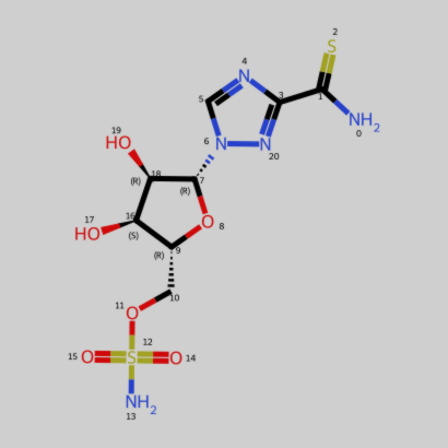 NC(=S)c1ncn([C@@H]2O[C@H](COS(N)(=O)=O)[C@@H](O)[C@H]2O)n1